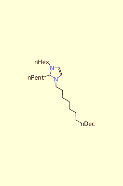 CCCCCCCCCCCCCCCCCN1C=CN(CCCCCC)C1CCCCC